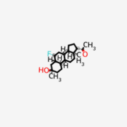 CC(=O)[C@H]1CC[C@H]2[C@@H]3C[C@@H](F)[C@H]4C[C@](C)(O)CC[C@@H]4[C@H]3CC[C@]12C